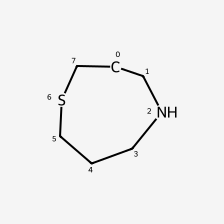 C1CNCCCSC1